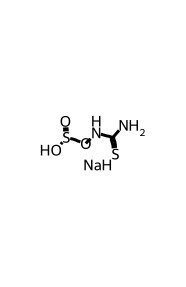 NC(=S)NOS(=O)O.[NaH]